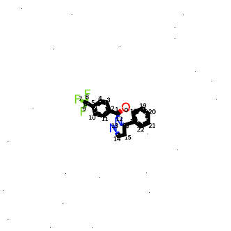 O=C(c1ccc(C(F)(F)F)cc1)N1N=CCC1c1ccccc1